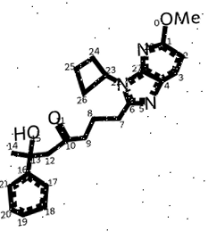 COc1ccc2nc(CCCC(=O)CC(C)(O)c3ccccc3)n(C3CCC3)c2n1